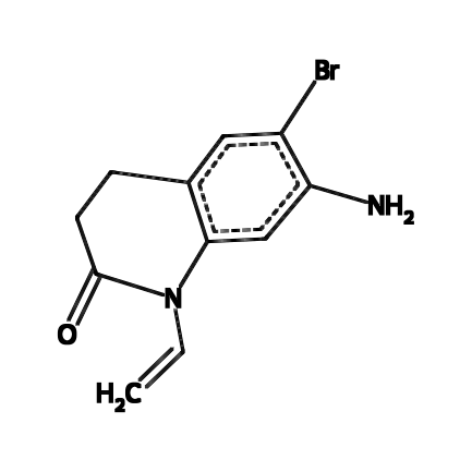 C=CN1C(=O)CCc2cc(Br)c(N)cc21